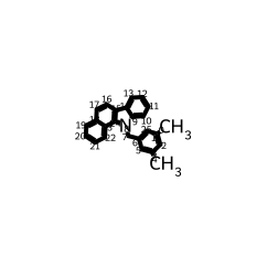 Cc1cc(C)cc(Cn2c3ccccc3c3ccc4ccccc4c32)c1